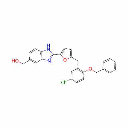 OCc1ccc2[nH]c(-c3ccc(Cc4cc(Cl)ccc4OCc4ccccc4)o3)nc2c1